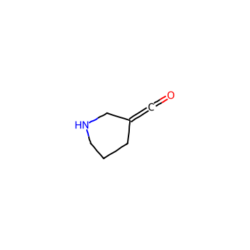 O=C=C1CCCNC1